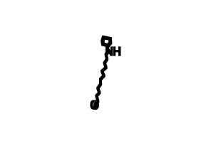 COCCCCCCCCCCCCNc1ccccc1